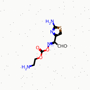 NCCOC(=O)O/N=C(\[C]=O)c1csc(N)n1